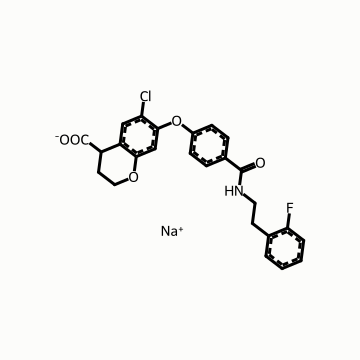 O=C(NCCc1ccccc1F)c1ccc(Oc2cc3c(cc2Cl)C(C(=O)[O-])CCO3)cc1.[Na+]